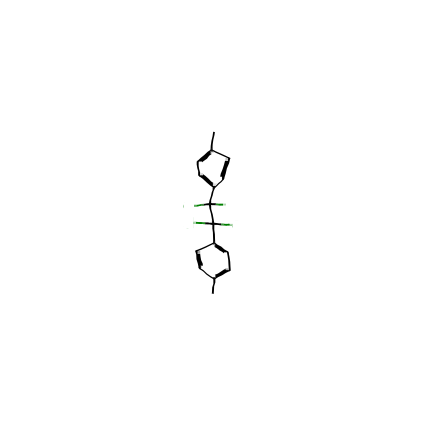 Cc1ccc(C(Cl)(Cl)C(Cl)(Cl)c2ccc(C)cc2)cc1